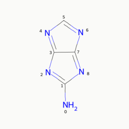 NC1=NC2=NC=NC2=N1